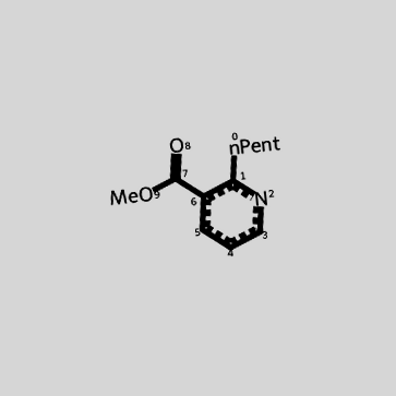 CCCCCc1ncccc1C(=O)OC